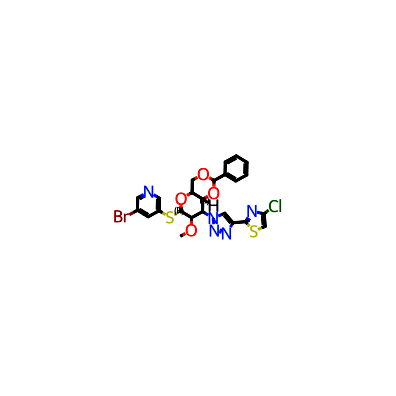 COC1C(n2cc(-c3nc(Cl)cs3)nn2)[C@H]2OC(c3ccccc3)OCC2O[C@@H]1Sc1cncc(Br)c1